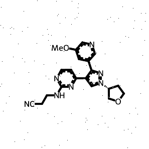 COc1cncc(-c2nn([C@@H]3CCOC3)cc2-c2ccnc(NCCC#N)n2)c1